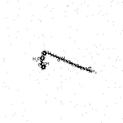 C[C@@H]1CN(c2cc(OCCCCCCCCC(=O)NCCOCCOCCOCCOCCOCCOCC(N)=O)ccn2)CCN1/C=C/C(=O)c1ccccc1O